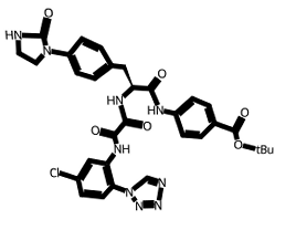 CC(C)(C)OC(=O)c1ccc(NC(=O)[C@H](Cc2ccc(N3CCNC3=O)cc2)NC(=O)C(=O)Nc2cc(Cl)ccc2-n2cnnn2)cc1